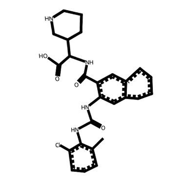 Cc1cccc(Cl)c1NC(=O)Nc1cc2ccccc2cc1C(=O)NC(C(=O)O)C1CCCNC1